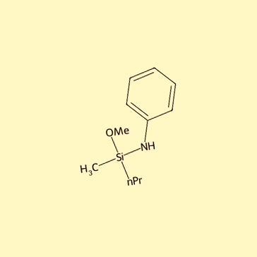 CCC[Si](C)(Nc1ccccc1)OC